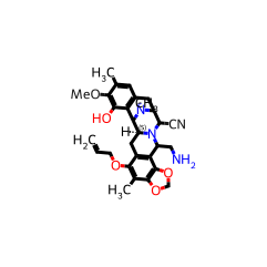 C=CCOc1c(C)c2c(c3c1C[C@H]1C4c5c(cc(C)c(OC)c5O)CC(C(C#N)N1C3CN)N4C)OCO2